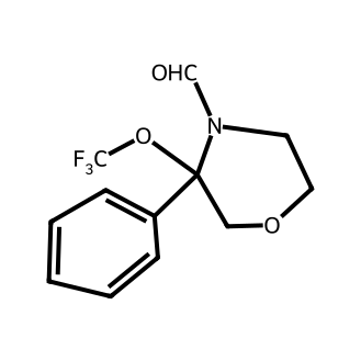 O=CN1CCOCC1(OC(F)(F)F)c1ccccc1